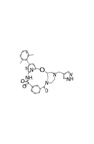 Cc1cccc(C)c1-c1cc2nc(n1)NS(=O)(=O)c1cccc(c1)C(=O)N1CCN(Cc3cn[nH]c3)CC(C1)O2